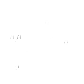 NC(=O)C1=CCOC1=O